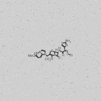 CCO/N=C(\C(=O)N[C@@H]1C(=O)N2C(C(=O)O)=C(CN3C=CN4NC(OC)=CC=C34)CS[C@@H]12)c1csc(N)n1